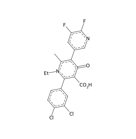 CCn1c(C)c(-c2cnc(F)c(F)c2)c(=O)c(C(=O)O)c1-c1ccc(Cl)c(Cl)c1